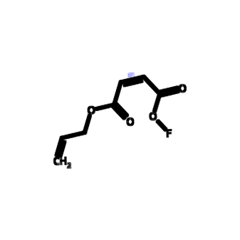 C=CCOC(=O)/C=C\C(=O)OF